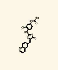 O=C(O)Nc1ccc(NC2=NC(=O)/C(=C/c3ccc4ncccc4c3)S2)c(Cl)c1